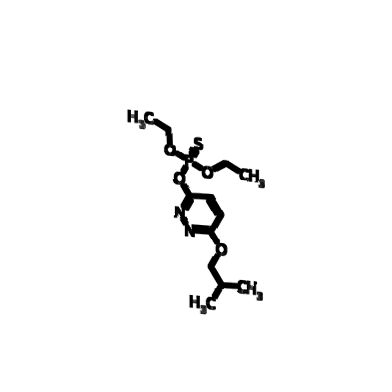 CCOP(=S)(OCC)Oc1ccc(OCC(C)C)nn1